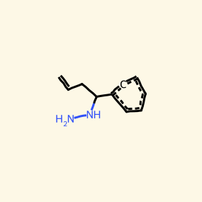 C=CCC(NN)c1ccccc1